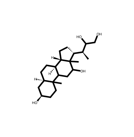 C[C@H](C(O)CO)[C@H]1CC[C@H]2[C@@H]3CC[C@@H]4C[C@H](O)CCC4(C)C3CC(O)C12C